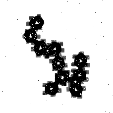 c1ccc(-c2cccc(-c3ccc4sc5c(-c6ccc(-c7nc(-c8ccccc8)nc(-n8c9ccccc9c9ccc(-c%10ccccc%10)cc98)n7)cc6)cccc5c4c3)c2)cc1